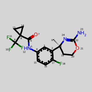 C[C@@]1(c2cc(NC(=O)C3(C(F)(F)F)CC3)ccc2F)CCOC(N)=N1